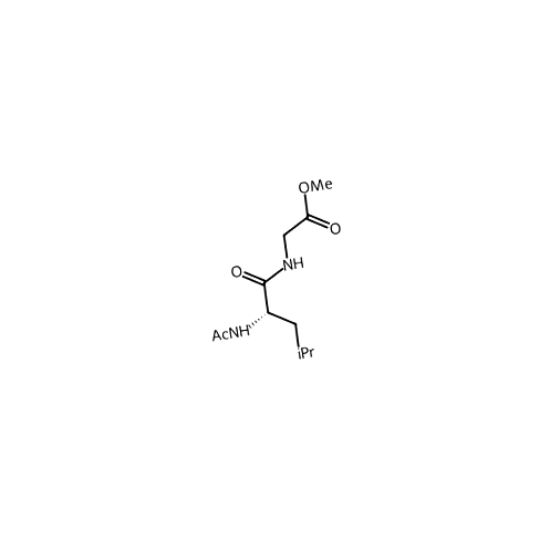 [CH2]OC(=O)CNC(=O)[C@H](CC(C)C)NC(C)=O